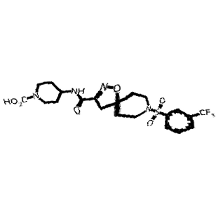 O=C(NC1CCN(C(=O)O)CC1)C1=NOC2(CCN(S(=O)(=O)c3cccc(C(F)(F)F)c3)CC2)C1